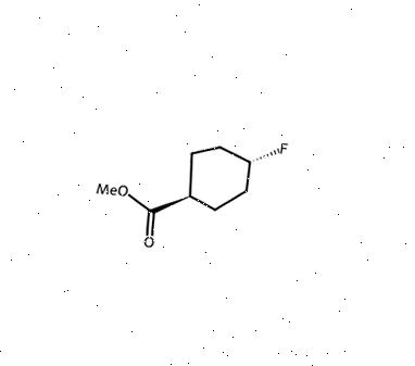 COC(=O)[C@H]1CC[C@H](F)CC1